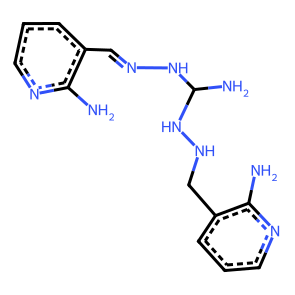 Nc1ncccc1/C=N/NC(N)NNCc1cccnc1N